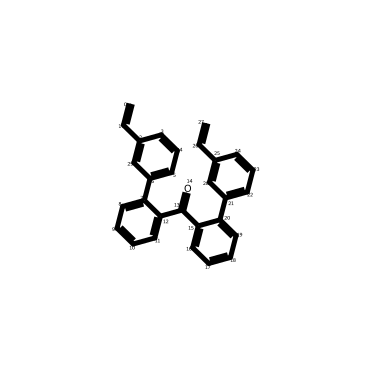 C=Cc1cccc(-c2ccccc2C(=O)c2ccccc2-c2cccc(C=C)c2)c1